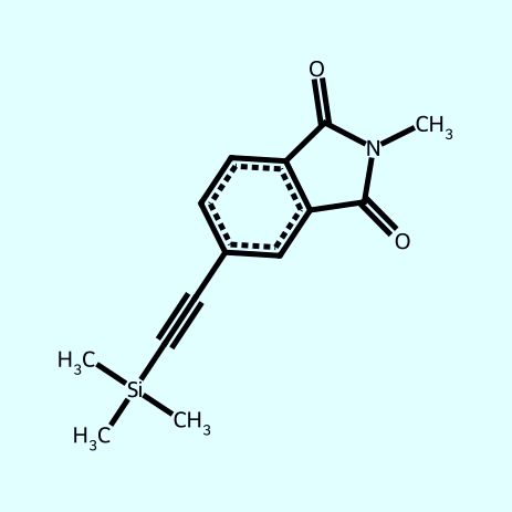 CN1C(=O)c2ccc(C#C[Si](C)(C)C)cc2C1=O